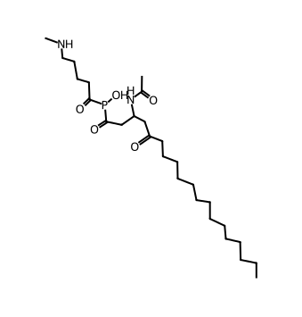 CCCCCCCCCCCCCCC(=O)CC(CC(=O)P(O)C(=O)CCCCNC)NC(C)=O